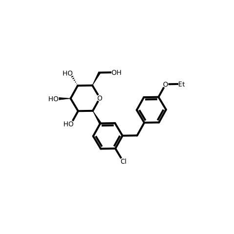 CCOc1ccc(Cc2cc([C@@H]3O[C@H](CO)[C@@H](O)[C@H](O)C3O)ccc2Cl)cc1